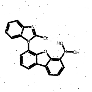 CCc1nc2ccccc2n1-c1cccc2c1oc1c(N(O)O)cccc12